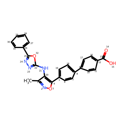 Cc1noc(-c2ccc(-c3ccc(C(=O)O)cc3)cc2)c1Nc1nnc(-c2ccccc2)o1